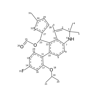 CC1=CC(C)(C)Nc2ccc(-c3ccc(F)cc3OC(C)C)c(C(OC=O)c3ccc(C)s3)c21